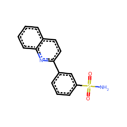 NS(=O)(=O)c1cccc(-c2ccc3ccccc3n2)c1